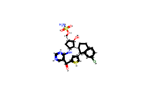 NS(=O)(=O)OC[C@H]1C[C@@H](Nc2ncncc2C(=O)c2cc([C@H]3CCCc4ccc(Cl)cc43)cs2)C[C@@H]1O